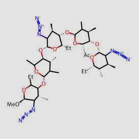 CCC1O[C@H](OC)C(N=[N+]=[N-])[C@@H](C)[C@@H]1O[C@@H]1OC(C)[C@@H](O[C@H]2O[C@@H](CC)[C@@H](O[C@@H]3O[C@@H](C(C)=O)[C@@H](O[C@H]4O[C@@H](CC)[C@@H](C)[C@H](C)C4N=[N+]=[N-])[C@H](C)C3C)[C@H](C)C2N=[N+]=[N-])[C@H](C)C1C